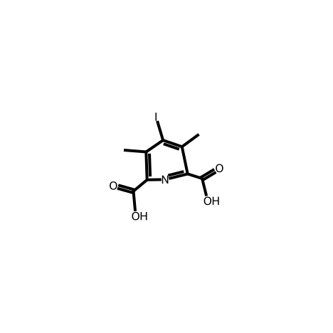 Cc1c(C(=O)O)nc(C(=O)O)c(C)c1I